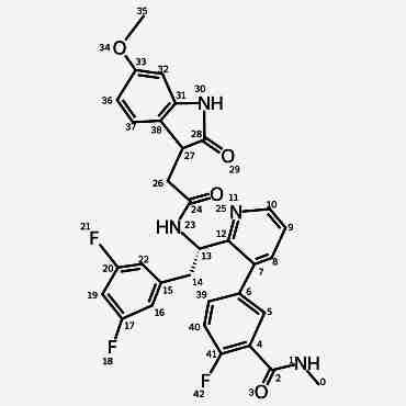 CNC(=O)c1cc(-c2cccnc2[C@H](Cc2cc(F)cc(F)c2)NC(=O)CC2C(=O)Nc3cc(OC)ccc32)ccc1F